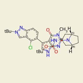 Cn1c(N2[C@@H]3CC[C@H]2C[C@@H](NC(=O)OC(C)(C)C)C3)nc2[nH]cc(-c3ccc4nn(C(C)(C)C)cc4c3Cl)c2c1=O